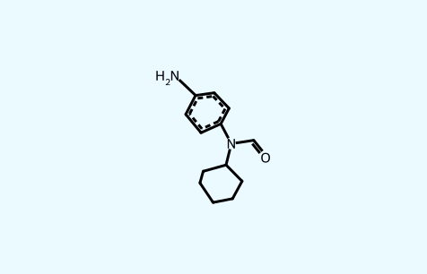 Nc1ccc(N(C=O)C2CCCCC2)cc1